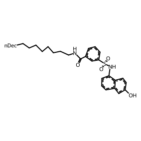 CCCCCCCCCCCCCCCCCCNC(=O)c1cccc(S(=O)(=O)Nc2cccc3cc(O)ccc23)c1